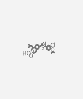 CC(C)CC1CN(C(=O)O)CCc2cc(-c3cnc(-c4ccc(OC(C)C)c(Cl)c4)s3)ccc21